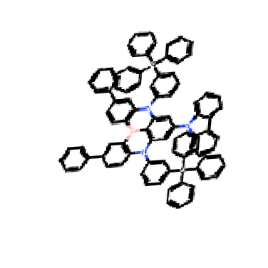 c1ccc(-c2ccc3c(c2)B2c4ccc(-c5ccccc5)cc4N(c4cccc([Si](c5ccccc5)(c5ccccc5)c5ccccc5)c4)c4cc(-n5c6ccccc6c6ccccc65)cc(c42)N3c2cccc([Si](c3ccccc3)(c3ccccc3)c3ccccc3)c2)cc1